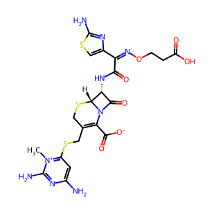 C[n+]1c(SCC2=C(C(=O)[O-])N3C(=O)[C@@H](NC(=O)/C(=N\OCCC(=O)O)c4csc(N)n4)[C@H]3SC2)cc(N)nc1N